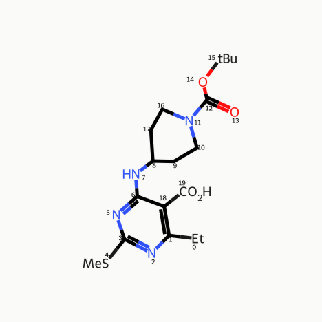 CCc1nc(SC)nc(NC2CCN(C(=O)OC(C)(C)C)CC2)c1C(=O)O